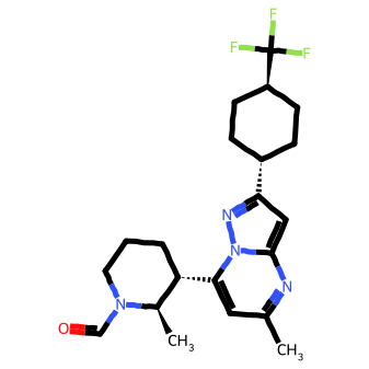 Cc1cc([C@H]2CCCN(C=O)[C@@H]2C)n2nc([C@H]3CC[C@H](C(F)(F)F)CC3)cc2n1